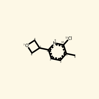 Cc1ccc(C2COC2)nc1Cl